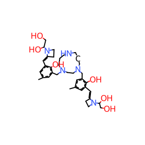 Cc1cc(C=C2CCN2C(O)CO)c(O)c(CN2CCCNCCCN(Cc3cc(C)cc(C=C4CCN4C(O)CO)c3O)CC2)c1